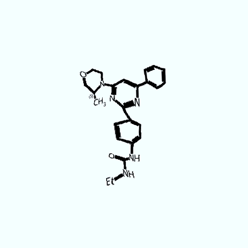 CCNC(=O)Nc1ccc(-c2nc(-c3ccccc3)cc(N3CCOC[C@@H]3C)n2)cc1